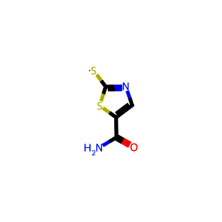 NC(=O)c1cnc([S])s1